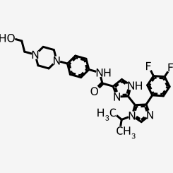 CC(C)n1cnc(-c2ccc(F)c(F)c2)c1-c1nc(C(=O)Nc2ccc(N3CCN(CCO)CC3)cc2)c[nH]1